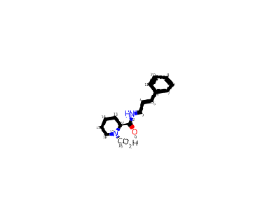 O=C(NCCCc1ccccc1)[C@@H]1CCCCN1C(=O)O